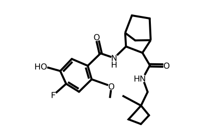 COc1cc(F)c(O)cc1C(=O)NC1C2CCC(C2)C1C(=O)NCC1(C)CCC1